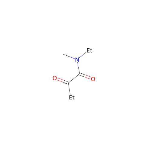 CCC(=O)C(=O)N(C)CC